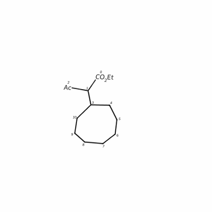 CCOC(=O)C(C(C)=O)C1CCCCCCC1